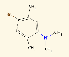 Cc1cc(N(C)C)c(C)cc1Br